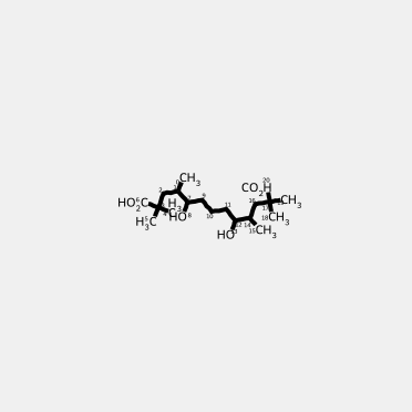 CC(CC(C)(C)C(=O)O)C(O)CCCC(O)C(C)CC(C)(C)C(=O)O